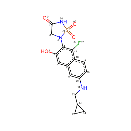 O=C1CN(c2c(O)cc3cc(NCC4CC4)ccc3c2F)S(=O)(=O)N1